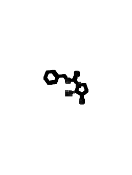 CC[C@H]1C(=O)CCN1C(=O)OCC1=CCCC=C1